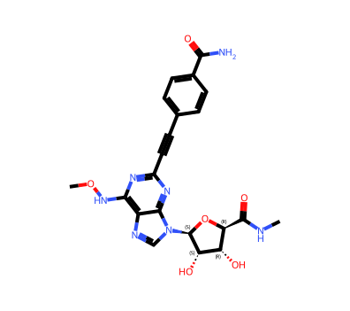 CNC(=O)[C@@H]1O[C@H](n2cnc3c(NOC)nc(C#Cc4ccc(C(N)=O)cc4)nc32)[C@@H](O)[C@H]1O